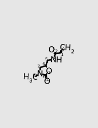 C=CC(=O)NCC1CN(C)C(=O)O1